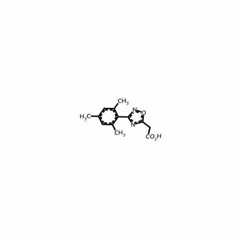 Cc1cc(C)c(-c2noc(CC(=O)O)n2)c(C)c1